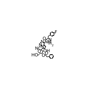 N#C[C@@]1(c2ccc3c(NC(=O)[C@@H](N)Cc4ccc(F)cc4)ncnn23)O[C@H](CO)[C@@H](OC(=O)Cc2ccccc2)[C@H]1O